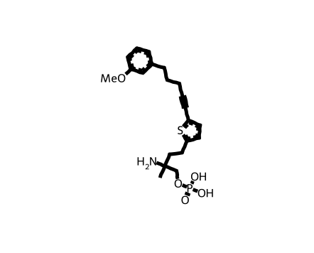 COc1cccc(CCCC#Cc2ccc(CCC(C)(N)COP(=O)(O)O)s2)c1